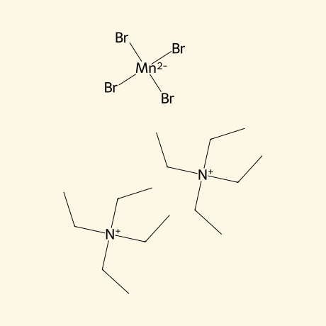 CC[N+](CC)(CC)CC.CC[N+](CC)(CC)CC.[Br][Mn-2]([Br])([Br])[Br]